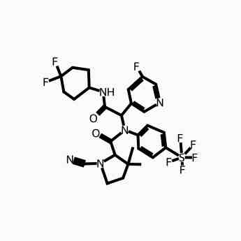 CC1(C)CCN(C#N)C1C(=O)N(c1ccc(S(F)(F)(F)(F)F)cc1)C(C(=O)NC1CCC(F)(F)CC1)c1cncc(F)c1